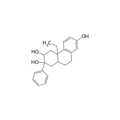 CCC12CC(O)C(O)(c3ccccc3)CC1CCc1cc(O)ccc12